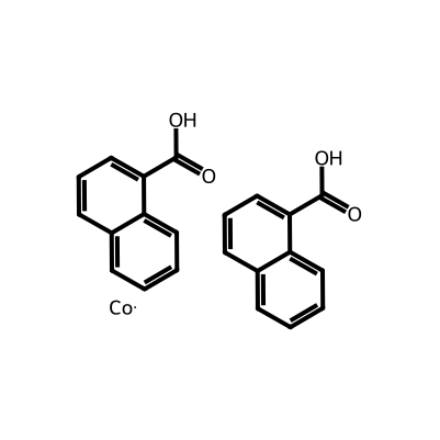 O=C(O)c1cccc2ccccc12.O=C(O)c1cccc2ccccc12.[Co]